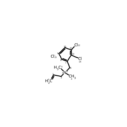 C=CC[N+](C)(C)Cc1cccc(Cl)c1Cl.[Cl-]